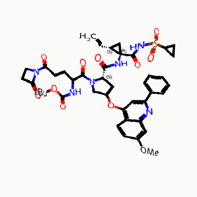 C=C[C@@H]1C[C@]1(NC(=O)[C@@H]1CC(Oc2cc(-c3ccccc3)nc3cc(OC)ccc23)CN1C(=O)C(CCC(=O)N1CCC1=O)NC(=O)OC(C)(C)C)C(=O)NS(=O)(=O)C1CC1